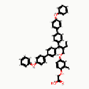 CCC(COc1ccc(OCC(=O)O)c(C)c1)=C(c1ccc(-c2ccc(Oc3ccccc3)cc2)cc1)c1ccc(-c2ccc(Oc3ccccc3)cc2)cc1